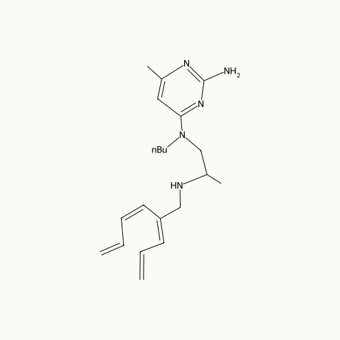 C=C/C=C\C(=C/C=C)CNC(C)CN(CCCC)c1cc(C)nc(N)n1